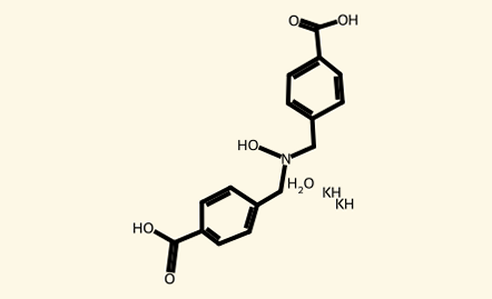 O.O=C(O)c1ccc(CN(O)Cc2ccc(C(=O)O)cc2)cc1.[KH].[KH]